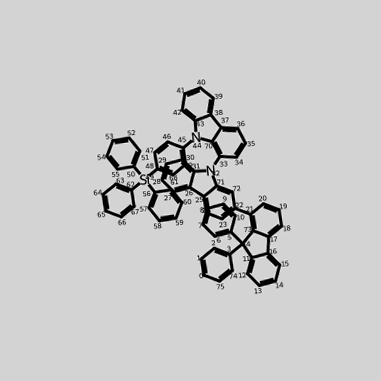 c1ccc(C2(c3ccccc3)c3ccccc3-c3cccc(-c4ccc5c6ccccc6n(-c6cccc7c8ccccc8n(-c8ccc([Si](c9ccccc9)(c9ccccc9)c9ccccc9)cc8)c67)c5c4)c32)cc1